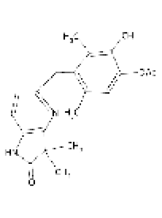 CC(=O)Oc1cc(C)c(Cc2ccc3c(n2)C(C)(C)C(=O)N3)c(C)c1C